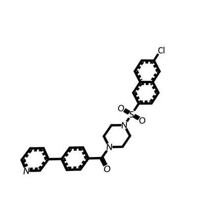 O=C(c1ccc(-c2cccnc2)cc1)N1CCN(S(=O)(=O)c2ccc3cc(Cl)ccc3c2)CC1